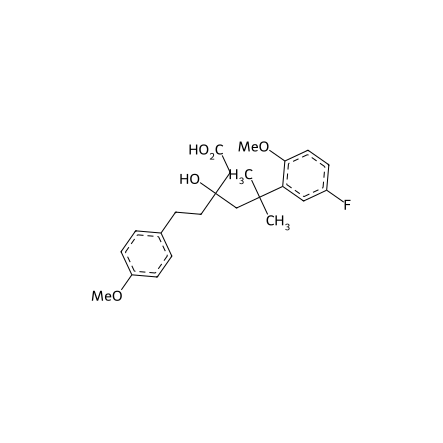 COc1ccc(CCC(O)(CC(=O)O)CC(C)(C)c2cc(F)ccc2OC)cc1